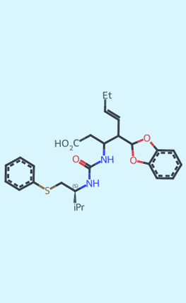 CCC=CC(C(CC(=O)O)NC(=O)N[C@H](CSc1ccccc1)C(C)C)C1Oc2ccccc2O1